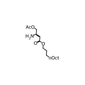 CCCCCCCCCCCOC(=O)C=C(N)COC(C)=O